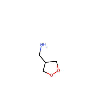 NCC1COOC1